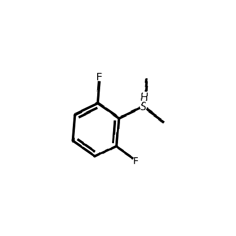 C[SH](C)c1c(F)cccc1F